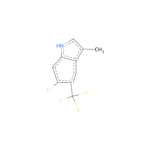 Cc1c[nH]c2cc(F)c(C(F)(F)F)cc12